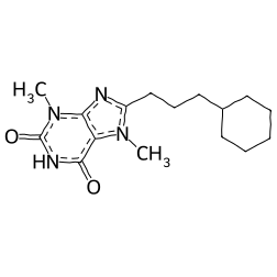 Cn1c(CCCC2CCCCC2)nc2c1c(=O)[nH]c(=O)n2C